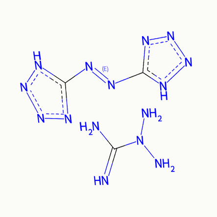 N(=N\c1nnn[nH]1)/c1nnn[nH]1.N=C(N)N(N)N